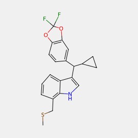 CSCc1cccc2c(C(c3ccc4c(c3)OC(F)(F)O4)C3CC3)c[nH]c12